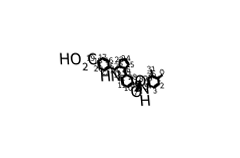 Cc1ccc(NS(=O)(=O)C2=CC=C3NC(c4ccc(C(=O)O)cc4)C4CC=CC4=C3C2)cc1C